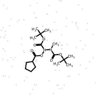 CN(C(=O)OC(C)(C)C)N(OC(=O)C1CCCC1)C(=O)OC(C)(C)C